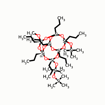 CCC[Si]1(O[Si](C)(C)C)O[Si]2(CCC)O[Si](CCC)(O[Si](C)(C)O[Si](C)(C)C)O[Si@@]3(CCC)O[Si](CCC)(O2)O[Si](CCC)(O1)O[Si@@](CCC)(OC)O3